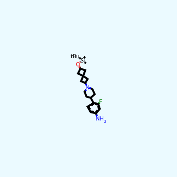 CC(C)(C)[Si](C)(C)OC1CC2(C1)CC(N1CCC(c3ccc(N)cc3F)CC1)C2